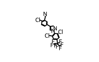 N#Cc1cc(-c2cnn(-c3c(Cl)cc(C(F)(C(F)(F)F)C(F)(F)F)cc3Cl)c2)ccc1Cl